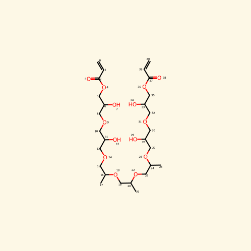 C=CC(=O)OCC(O)COCC(O)COCC(C)OCC(C)OCC(C)OCC(O)COCC(O)COC(=O)C=C